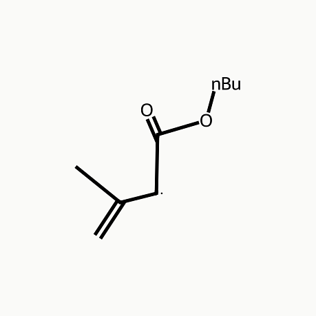 C=C(C)[CH]C(=O)OCCCC